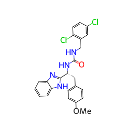 COc1ccc(C[C@@H](NC(=O)NCc2cc(Cl)ccc2Cl)c2nc3ccccc3[nH]2)cc1